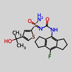 CC(C)(O)c1csc(S(N)(=O)=NC(=O)Nc2c3c(c(F)c4c2CCC4)CCC3)c1